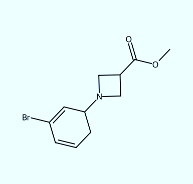 COC(=O)C1CN(C2C=C(Br)C=CC2)C1